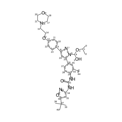 CC(C)OC(O)n1nc(-c2ccc(OCCN3CCOCC3)cc2)cc1-c1ccc(NC(=O)Nc2cc(C(C)(C)C)on2)c(F)c1